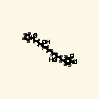 O=C(CCCC(O)/C=C/C=C/C=C/C(O)CCc1ccc(Cl)c(Cl)c1)N1CCCC1